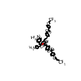 Nc1ccc(CC(CC(=O)C=Cc2ccc(OC(=O)c3ccc(OCCCC(F)(F)F)cc3)cc2)(Cc2ccc(N)cc2)C(O)(O)C(=O)C=Cc2ccc(OC(=O)c3ccc(OCCCC(F)(F)F)cc3)cc2)cc1